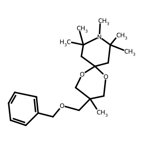 CN1C(C)(C)CC2(CC1(C)C)OCC(C)(COCc1ccccc1)CO2